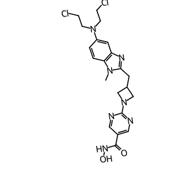 Cn1c(CC2CN(c3ncc(C(=O)NO)cn3)C2)nc2cc(N(CCCl)CCCl)ccc21